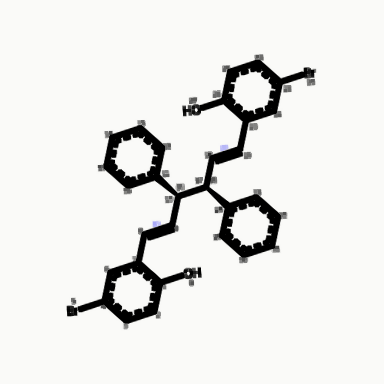 Oc1ccc(Br)cc1/C=C/[C@@H](c1ccccc1)[C@@H](/C=C/c1cc(Br)ccc1O)c1ccccc1